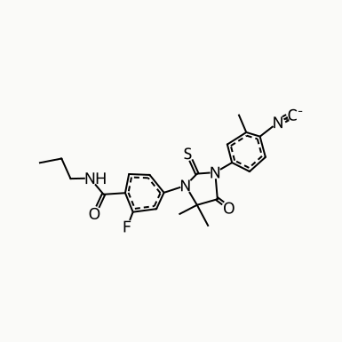 [C-]#[N+]c1ccc(N2C(=O)C(C)(C)N(c3ccc(C(=O)NCCC)c(F)c3)C2=S)cc1C